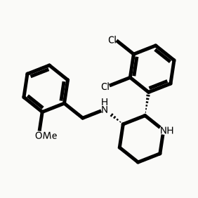 COc1ccccc1CN[C@H]1CCCN[C@H]1c1cccc(Cl)c1Cl